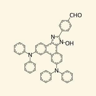 O=Cc1ccc(-c2nc3c4ccc(N(c5ccccc5)c5ccccc5)cc4c4cc(N(c5ccccc5)c5ccccc5)ccc4c3n2O)cc1